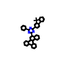 CC1(C)c2ccccc2-c2ccc(-c3nc(-c4ccccc4)nc(-c4cc5c6ccccc6c6ccccc6c5c5ccccc45)n3)cc21